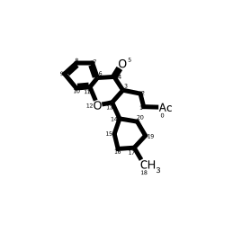 CC(=O)CCC1C(=O)c2ccccc2OC1C1CCC(C)CC1